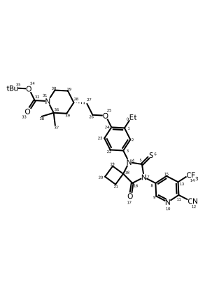 CCc1cc(N2C(=S)N(c3cnc(C#N)c(C(F)(F)F)c3)C(=O)C23CCC3)ccc1OCC[C@H]1CCN(C(=O)OC(C)(C)C)C(C)(C)C1